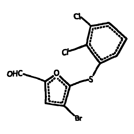 O=Cc1cc(Br)c(Sc2cccc(Cl)c2Cl)o1